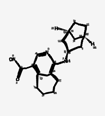 O=NC(=O)c1cnc(N[C@@H]2C[C@@H]3CC[C@@H](C3)C2)c2c1CCCC2